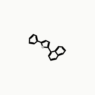 c1ccc(-c2ccc(-c3cccc4ccccc34)o2)cc1